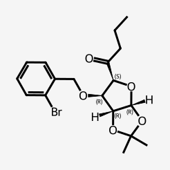 CCCC(=O)[C@H]1O[C@@H]2OC(C)(C)O[C@@H]2[C@H]1OCc1ccccc1Br